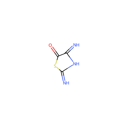 N=C1NC(=N)C(=O)S1